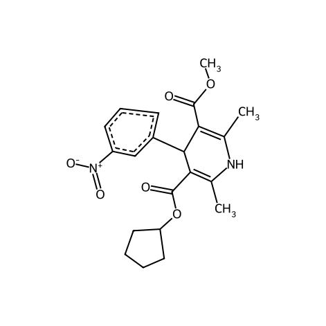 COC(=O)C1=C(C)NC(C)=C(C(=O)OC2CCCC2)C1c1cccc([N+](=O)[O-])c1